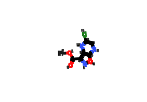 CC(C)OC(=O)c1noc2ncc(Cl)nc12